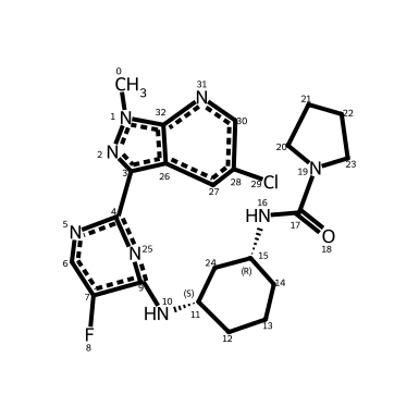 Cn1nc(-c2ncc(F)c(N[C@H]3CCC[C@@H](NC(=O)N4CCCC4)C3)n2)c2cc(Cl)cnc21